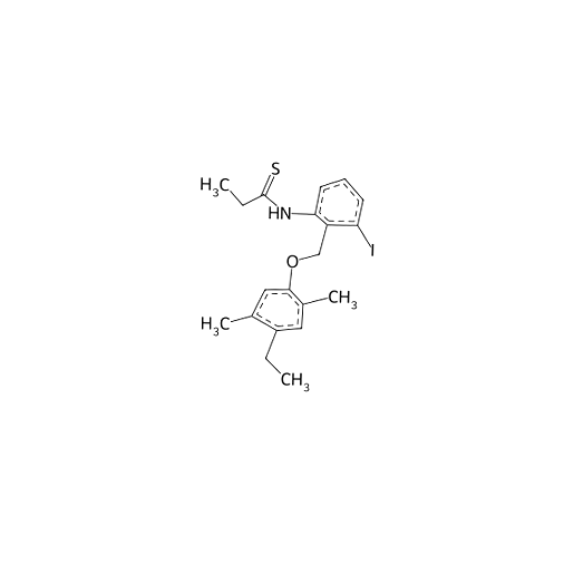 CCC(=S)Nc1cccc(I)c1COc1cc(C)c(CC)cc1C